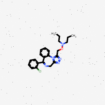 CCCN(CCC)OCc1nnc2n1-c1ccccc1C(c1ccccc1Cl)=NC2